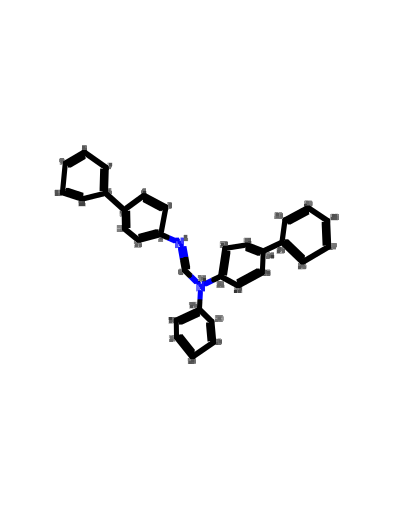 C(=Nc1ccc(-c2ccccc2)cc1)N(c1ccccc1)c1ccc(-c2ccccc2)cc1